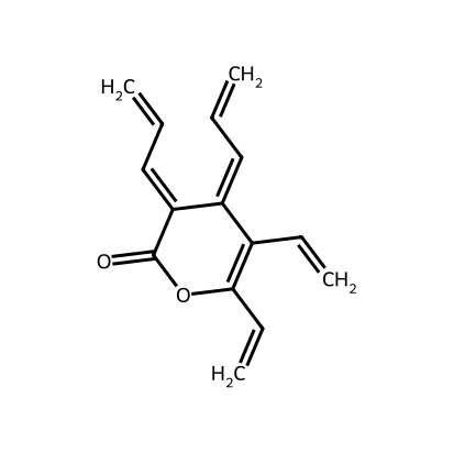 C=C/C=c1/c(C=C)c(C=C)oc(=O)/c1=C/C=C